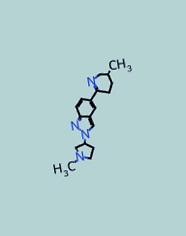 C[C@H]1CCC(c2ccc3nn(C4CCN(C)C4)cc3c2)=NC1